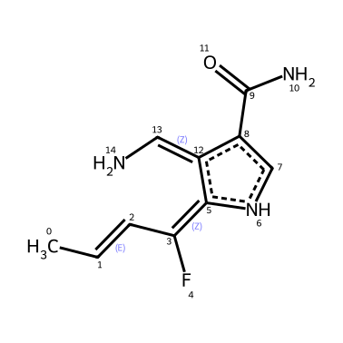 C/C=C/C(F)=c1/[nH]cc(C(N)=O)/c1=C/N